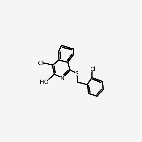 Oc1nc(SCc2ccccc2Cl)c2ccccc2c1Cl